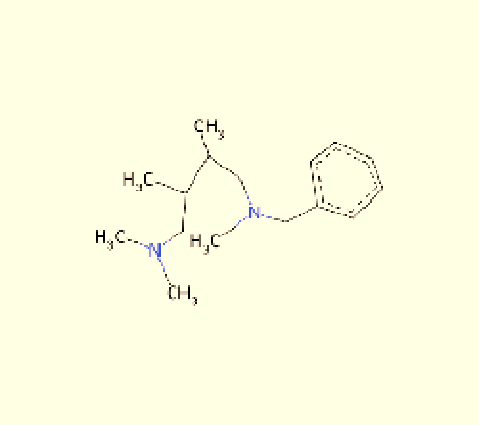 CC(CN(C)C)C(C)CN(C)Cc1ccccc1